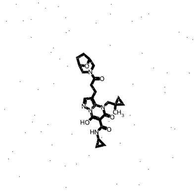 CC1(Cn2c(=O)c(C(=O)NC3CC3)c(O)n3ncc(CCC(=O)N4CC5CCC(C4)O5)c23)CC1